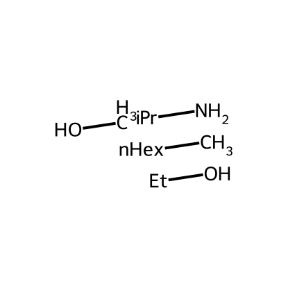 CC(C)N.CCCCCCC.CCO.CO